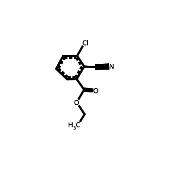 CCOC(=O)c1cccc(Cl)c1C#N